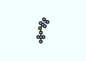 c1ccc(-c2c3ccccc3c(-c3ccc4c(c3)sc3ccc(-c5c6ccccc6c(-n6c7ccccc7c7ccccc76)c6ccccc56)cc34)c3ccccc23)cc1